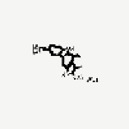 CCOC(=O)c1[nH]c2cc3c([nH]c4ccc(Br)cc43)c(C)c2c1C